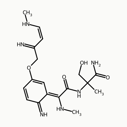 CN/C=C\C(=N)COC1=C/C(=C(/NC)C(=O)NC(C)(CO)C(N)=O)C(=N)C=C1